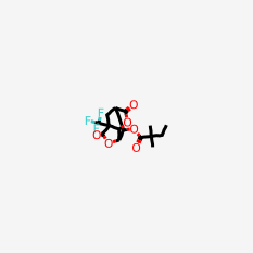 CCC(C)(C)C(=O)OC1C2CC3(C(F)(F)F)C(=O)OC1C3OC2=O